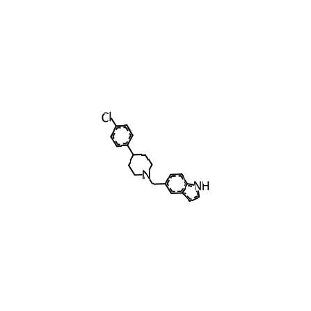 Clc1ccc(C2CCN(Cc3ccc4[nH]ccc4c3)CC2)cc1